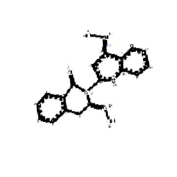 O=C1c2ccccc2CC(=NO)N1c1c/c(=N\O)c2ccccc2o1